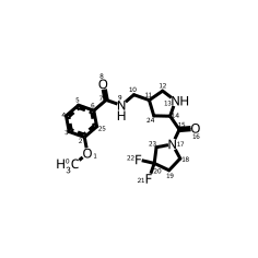 COc1cccc(C(=O)NCC2CNC(C(=O)N3CCC(F)(F)C3)C2)c1